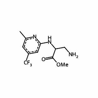 COC(=O)C(CN)Nc1cc(C(F)(F)F)cc(C)n1